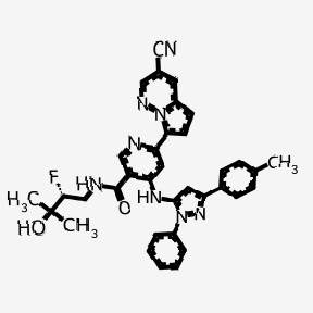 Cc1ccc(-c2cc(Nc3cc(-c4ccc5cc(C#N)cnn45)ncc3C(=O)NC[C@@H](F)C(C)(C)O)n(-c3ccccc3)n2)cc1